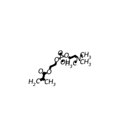 C=C(C)C(=O)OCCOP(=O)(O)OCC[N+](C)(C)C